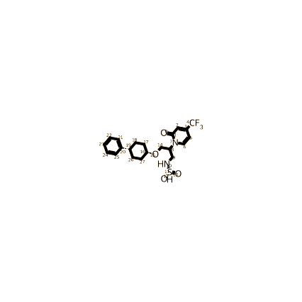 O=c1cc(C(F)(F)F)ccn1C(CN[SH](=O)=O)CO[C@H]1CC[C@@H](c2ccccc2)CC1